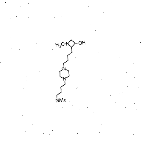 CNCCCCN1CCN(CCCCC2C(O)CN2C)CC1